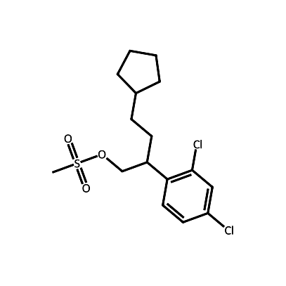 CS(=O)(=O)OCC(CCC1CCCC1)c1ccc(Cl)cc1Cl